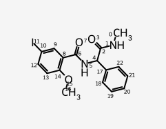 CNC(=O)C(NC(=O)c1cc(I)ccc1OC)c1ccccc1